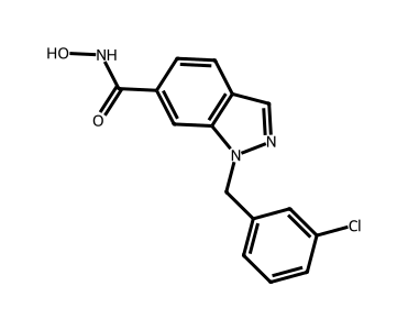 O=C(NO)c1ccc2cnn(Cc3cccc(Cl)c3)c2c1